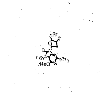 CCCC1OC(n2c(=O)n(CCC)c3c(OC)nc(N)nc32)CC1F